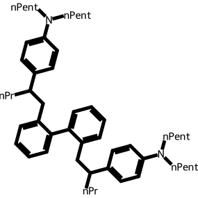 CCCCCN(CCCCC)c1ccc(C(CCC)Cc2ccccc2-c2ccccc2CC(CCC)c2ccc(N(CCCCC)CCCCC)cc2)cc1